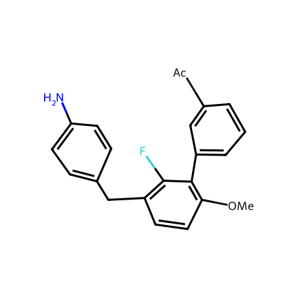 COc1ccc(Cc2ccc(N)cc2)c(F)c1-c1cccc(C(C)=O)c1